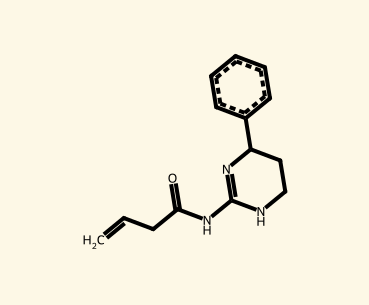 C=CCC(=O)NC1=NC(c2ccccc2)CCN1